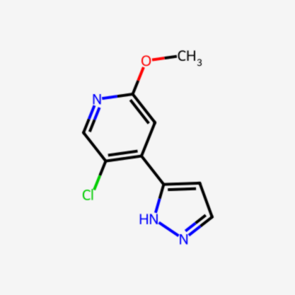 COc1cc(-c2ccn[nH]2)c(Cl)cn1